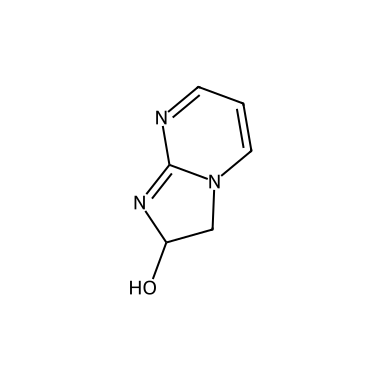 OC1CN2C=CC=NC2=N1